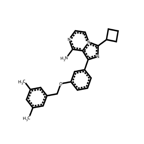 Cc1cc(C)cc(COc2cccc(-c3nc(C4CCC4)n4ccnc(N)c34)c2)c1